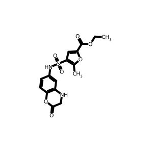 CCOC(=O)c1cc(S(=O)(=O)Nc2ccc3c(c2)NCC(=O)O3)c(C)o1